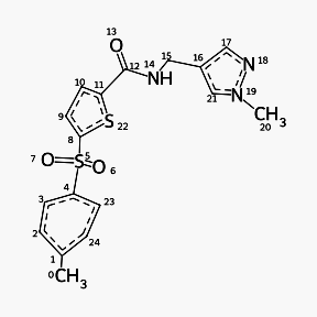 Cc1ccc(S(=O)(=O)c2ccc(C(=O)NCc3cnn(C)c3)s2)cc1